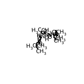 CCCC(C)(C)CC(=O)NCC(=O)NC(CC(C)C)C(=O)NCC(=O)NC(CC(C)C)C(=O)C1(C)CO1